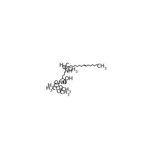 CCCCCCC=CCCCCCCC(C)(C)C(=O)NCCCC(CNC(=O)C1OC(C)(C)OCC1(C)C)C(=O)O